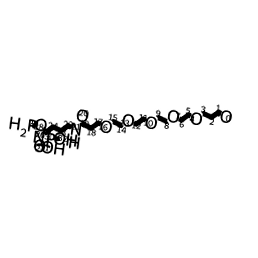 O=CCCOCCOCCOCCOCCOCCC(=O)NCCCC(N=O)(OP)P(O)O